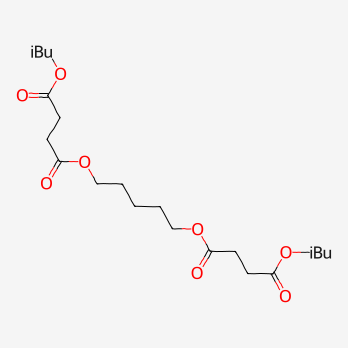 CCC(C)OC(=O)CCC(=O)OCCCCCOC(=O)CCC(=O)OC(C)CC